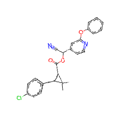 CC1(C)C(C(=O)OC(C#N)c2ccnc(Oc3ccccc3)c2)C1c1ccc(Cl)cc1